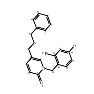 O=c1ccc(CCCc2ccccc2)cn1Cc1ccc(Cl)cc1F